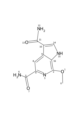 COc1nc(C(N)=O)cc2c(C(N)=O)c[nH]c12